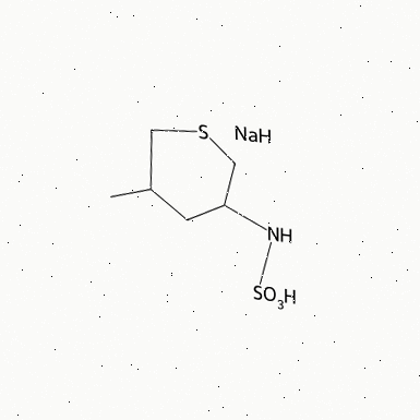 CC1CSCC(NS(=O)(=O)O)C1.[NaH]